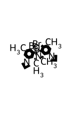 CCN(CC)P(=O)(c1cc(N2CCC2)cc(C)c1Br)c1cc(N2CCC2)cc(C)c1Br